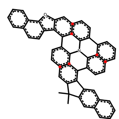 CC1(C)c2cc3ccccc3cc2-c2c(-c3ccccc3N(c3ccccc3-c3ccccc3)c3ccccc3-c3cccc4oc5c6ccccc6ccc5c34)cccc21